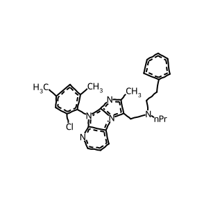 CCCN(CCc1ccccc1)Cc1c(C)nc2n(-c3c(C)cc(C)cc3Cl)c3ncccc3n12